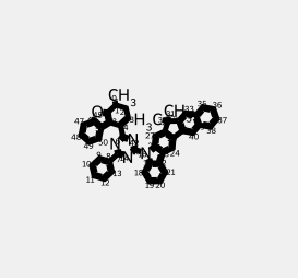 CC1CC=C(c2nc(-c3ccccc3)nc(-n3c4ccccc4c4cc5c(cc43)C(C)(C)c3cc4ccccc4cc3-5)n2)c2c1oc1ccccc21